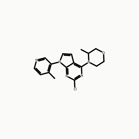 Cc1ccncc1-n1ccc2c(N3CCOCC3C)nc(Cl)nc21